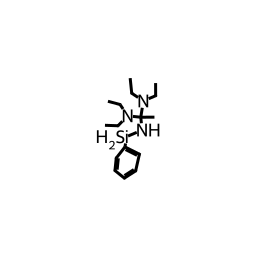 CCN(CC)C(C)(N[SiH2]c1ccccc1)N(CC)CC